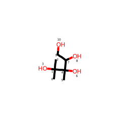 CC(C)(O)C(C)(O)C(O)CO